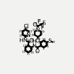 CSc1ccc(C(=O)Nc2ccccc2C(=O)Nc2ccc(Cl)cn2)c(OC2CCN(C(=O)C(F)(F)F)CC2)c1